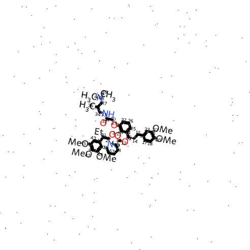 CC[C@H](C(=O)N1CCCC[C@H]1C(=O)O[C@H](CCc1ccc(OC)c(OC)c1)c1cccc(OCC(=O)NCC(C)CN(C)C)c1)c1cc(OC)c(OC)c(OC)c1